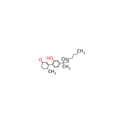 CCCCCCC(C)(C)c1ccc(C2=CC(=O)CCC2C)c(O)c1